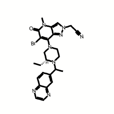 CC[C@@H]1CN(c2c(Br)c(=O)n(C)c3cn(CC#N)nc23)CCN1C(C)c1ccc2nccnc2c1